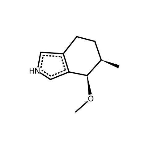 CO[C@H]1c2c[nH]cc2CC[C@H]1C